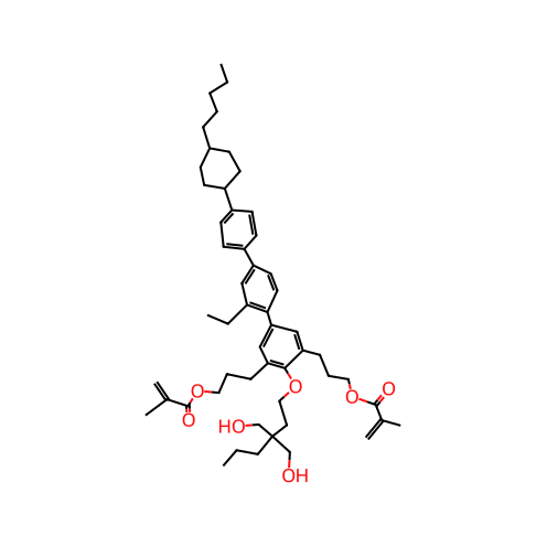 C=C(C)C(=O)OCCCc1cc(-c2ccc(-c3ccc(C4CCC(CCCCC)CC4)cc3)cc2CC)cc(CCCOC(=O)C(=C)C)c1OCCC(CO)(CO)CCC